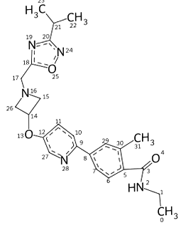 CCNC(=O)c1ccc(-c2ccc(OC3CN(Cc4nc(C(C)C)no4)C3)cn2)cc1C